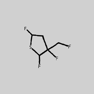 FCC1(F)CC(F)SC1F